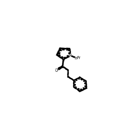 CCCn1cccc1C(=O)CCc1ccccc1